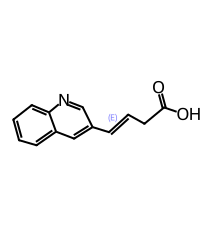 O=C(O)C/C=C/c1cnc2ccccc2c1